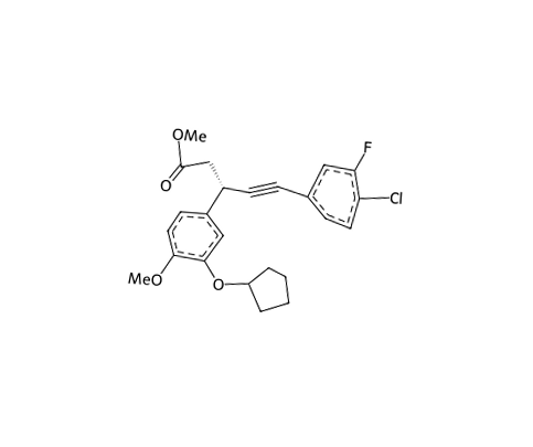 COC(=O)C[C@H](C#Cc1ccc(Cl)c(F)c1)c1ccc(OC)c(OC2CCCC2)c1